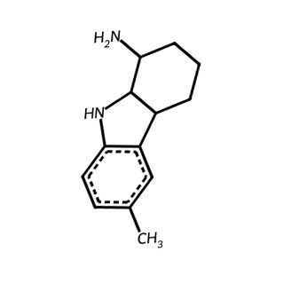 Cc1ccc2c(c1)C1CCCC(N)C1N2